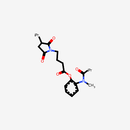 CC(C)C(=O)N(C)c1ccccc1OC(=O)CCCN1C(=O)CC(C(C)C)C1=O